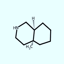 C[C@@]12CCCC[C@@H]1CNCC2